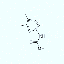 Cc1ccc(NC(=O)O)nc1C